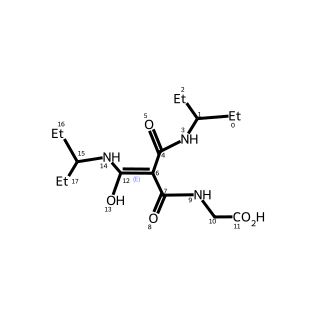 CCC(CC)NC(=O)/C(C(=O)NCC(=O)O)=C(/O)NC(CC)CC